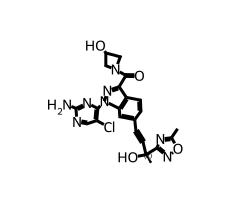 Cc1nc([C@](C)(O)C#Cc2ccc3c(C(=O)N4CC(O)C4)nn(-c4nc(N)ncc4Cl)c3c2)no1